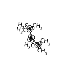 CCO[Si](CCCOS(=O)(=O)OCCC[Si](OCC)(OCC)OCC)(OCC)OCC